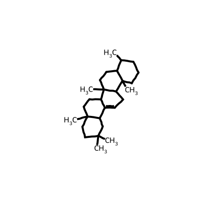 CC1CCCC2(C)C1CCC1(C)C3CCC4(C)CCC(C)(C)CC4C3=CCC12